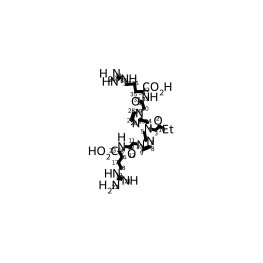 CCC(=O)CN(Cc1nccn1CC(=O)N[C@H](CCCNC(=N)N)C(=O)O)Cc1nccn1CC(=O)N[C@H](CCCNC(=N)N)C(=O)O